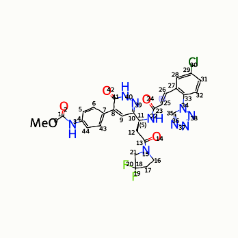 COC(=O)Nc1ccc(-c2cc([C@H](CC(=O)N3CCC(F)(F)C3)NC(=O)/C=C/c3cc(Cl)ccc3-n3cnnn3)n[nH]c2=O)cc1